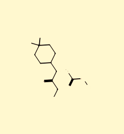 CC(C)(C)OC(=O)N[C@H](C(=O)CI)C1CCC(F)(F)CC1